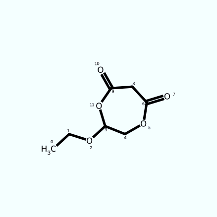 CCOC1COC(=O)CC(=O)O1